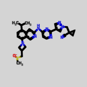 CC(C)c1ccc(N2CC(C[S+](C)[O-])C2)c2cnc(Nc3ccnc(-c4cnn(CC5(C#N)CC5)c4)n3)cc12